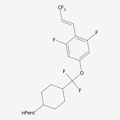 CCCCCC1CCC(C(F)(F)Oc2cc(F)c(/C=C/C(F)(F)F)c(F)c2)CC1